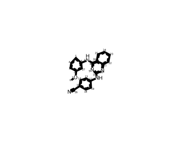 COc1cccc(Nc2nc(Nc3ccc(C#N)cc3)nc3ccccc23)c1